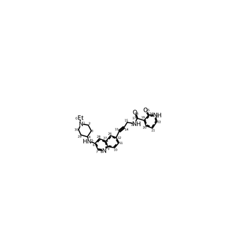 CCN1CCC(Nc2cnc3ccc(C#CCNC(=O)c4ccc[nH]c4=O)cc3c2)CC1